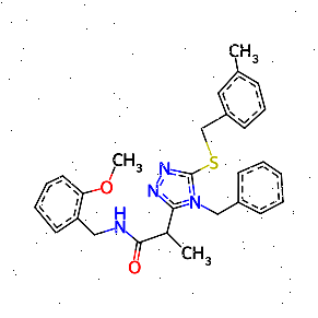 COc1ccccc1CNC(=O)C(C)c1nnc(SCc2cccc(C)c2)n1Cc1ccccc1